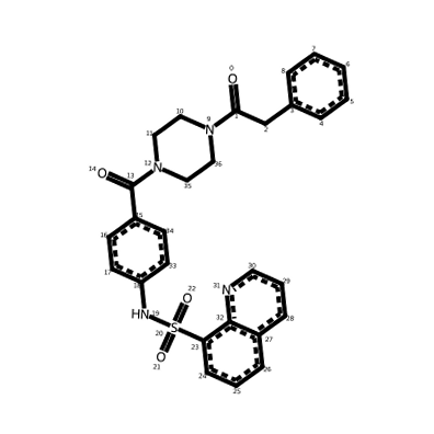 O=C(Cc1ccccc1)N1CCN(C(=O)c2ccc(NS(=O)(=O)c3cccc4cccnc34)cc2)CC1